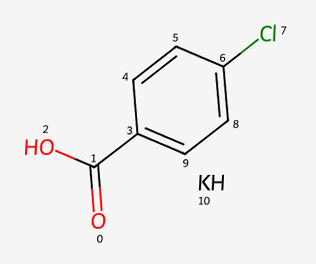 O=C(O)c1ccc(Cl)cc1.[KH]